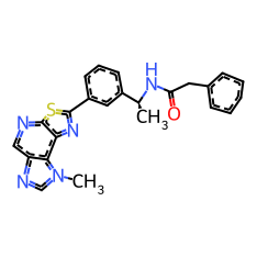 C[C@H](NC(=O)Cc1ccccc1)c1cccc(-c2nc3c(ncc4ncn(C)c43)s2)c1